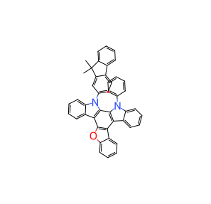 CC1(C)c2ccccc2-c2ccc(-n3c4ccccc4c4c5oc6ccccc6c5c5c6ccccc6n(-c6ccccc6)c5c43)cc21